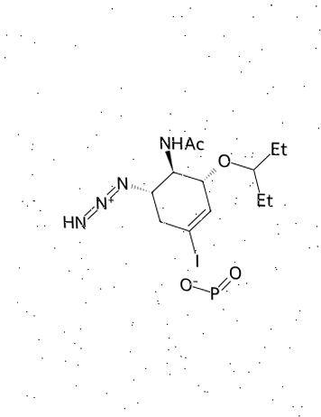 CCC(CC)O[C@@H]1C=C(I)C[C@H](N=[N+]=N)[C@H]1NC(C)=O.O=P[O-]